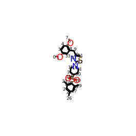 COc1ccc(OC)c(Cc2csc(N3CCC(S(=O)(=O)c4c(C)cc(C)cc4C)CC3)n2)c1